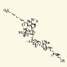 CCCCCCCC=CC(=O)c1nc(N)c2ncn([C@@H]3O[C@H](COP(=O)(O)OP(=O)(O)OCC(C)(C)[C@@H](O)C(=O)NCCC(=O)NCCS)[C@@H](OP(=O)(O)O)[C@H]3O)c2n1